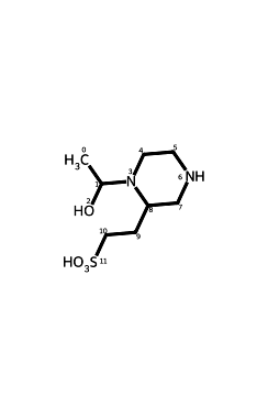 CC(O)N1CCNCC1CCS(=O)(=O)O